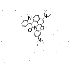 CCN(CC)c1ccc2c(c1)Oc1cc(N(CC)CC)ccc1N2C(=O)c1c2ccccc2nc2ccccc12